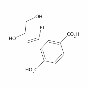 C=CCC.O=C(O)c1ccc(C(=O)O)cc1.OCCO